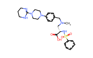 CN(Cc1ccc(N2CCN(C3=NCCCN3)CC2)cc1)C[C@H](NS(=O)(=O)c1ccccc1)C(=O)O